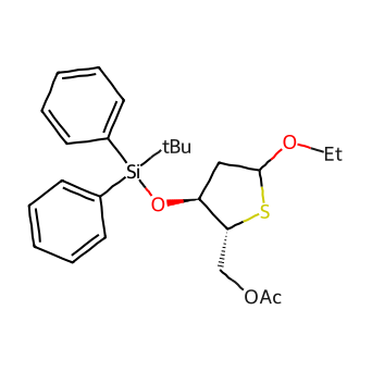 CCOC1C[C@H](O[Si](c2ccccc2)(c2ccccc2)C(C)(C)C)[C@@H](COC(C)=O)S1